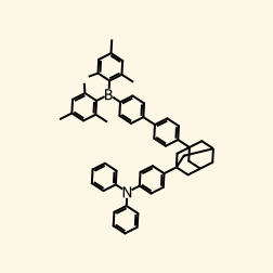 Cc1cc(C)c(B(c2ccc(-c3ccc(C45CC6CC(C4)CC(c4ccc(N(c7ccccc7)c7ccccc7)cc4)(C6)C5)cc3)cc2)c2c(C)cc(C)cc2C)c(C)c1